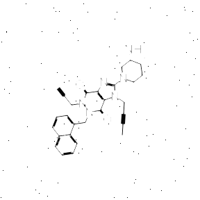 C#CCn1c(=O)c2nc(N3CCC[C@@H](N)C3)n(CC#CC)c2c(=O)n1Cc1cccc2ccccc12